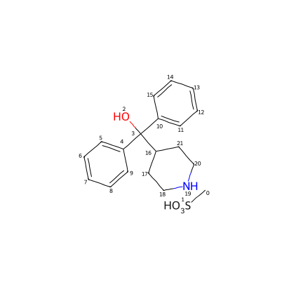 CS(=O)(=O)O.OC(c1ccccc1)(c1ccccc1)C1CCNCC1